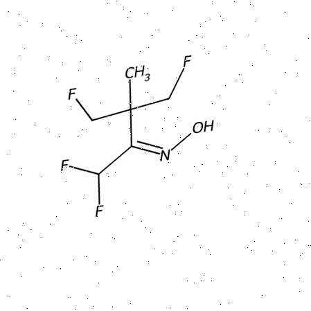 CC(CF)(CF)/C(=N\O)C(F)F